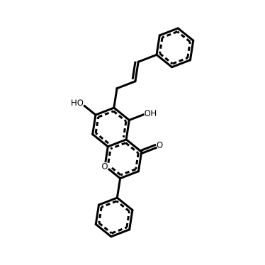 O=c1cc(-c2ccccc2)oc2cc(O)c(C/C=C/c3ccccc3)c(O)c12